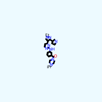 CCn1cc(-c2ccnc(Nc3cccc(C(=O)N4CCN(C(C)C)CC4)c3)n2)c(-c2cccnc2)n1